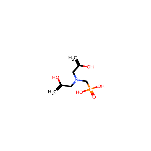 C=C(O)CN(CC(=C)O)CP(=O)(O)O